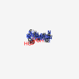 [C-]#[N+]c1cnn(-c2ccc(C(=O)O)c(C(=O)O)c2)c1/N=N/c1c(C)nn(-c2nc(O)nc(-n3nc(C)c(/N=N/c4c(C#N)cnn4C4=CCCC=C4)c3N)n2)c1N